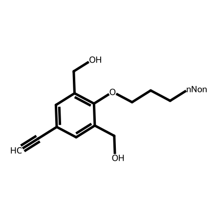 C#Cc1cc(CO)c(OCCCCCCCCCCCC)c(CO)c1